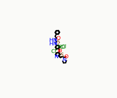 Cl.O=C(Cc1ccccc1)NC(=S)Nc1cc(Cl)c(Oc2ccnc3cc(C(=O)N4CCCC4)sc23)c(Cl)c1